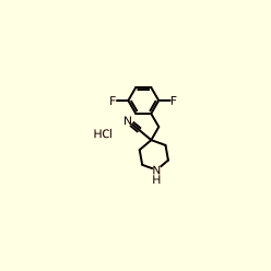 Cl.N#CC1(Cc2cc(F)ccc2F)CCNCC1